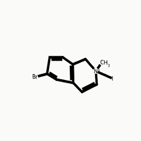 C[N+]1(I)C=Cc2cc(Br)ccc2C1